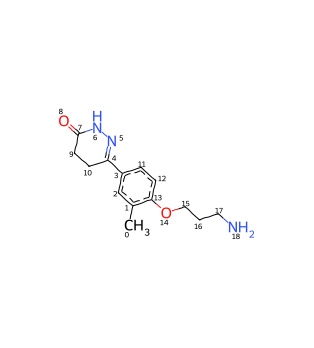 Cc1cc(C2=NNC(=O)CC2)ccc1OCCCN